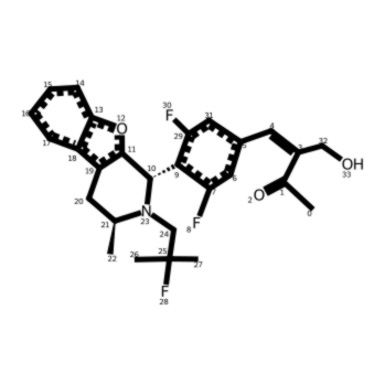 CC(=O)/C(=C\c1cc(F)c([C@H]2c3oc4ccccc4c3C[C@H](C)N2CC(C)(C)F)c(F)c1)CO